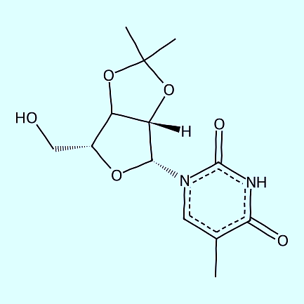 Cc1cn([C@@H]2O[C@H](CO)C3OC(C)(C)O[C@@H]32)c(=O)[nH]c1=O